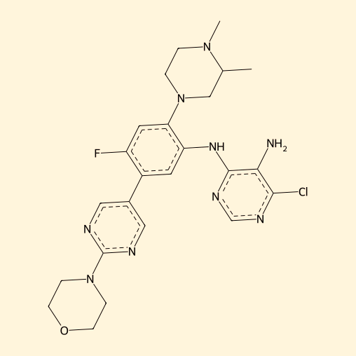 CC1CN(c2cc(F)c(-c3cnc(N4CCOCC4)nc3)cc2Nc2ncnc(Cl)c2N)CCN1C